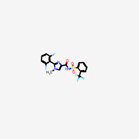 Cn1cc(C(=O)NS(=O)(=O)c2ccccc2C(F)(F)F)nc1-c1c(F)cccc1F